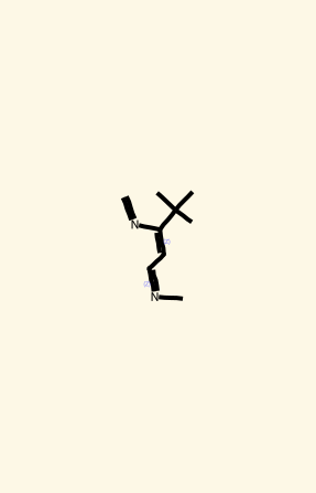 C=N/C(=C\C=N/C)C(C)(C)C